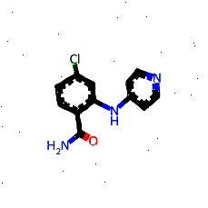 NC(=O)c1ccc(Cl)cc1Nc1ccncc1